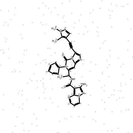 Cc1c(C#Cc2cnc3cc(C(C)NC(=O)c4c(N)nn5cccnc45)n(-c4ccccc4)c(=O)n23)cnn1C